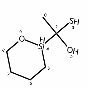 CC(O)(S)[SiH]1CCCCO1